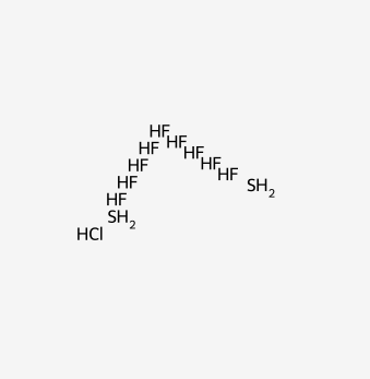 Cl.F.F.F.F.F.F.F.F.F.S.S